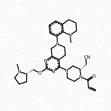 C=CC(=O)N1CCN(c2nc(OC[C@@H]3CCCN3C)nc3c2CCN(c2cccc4c2N(C)CCC4)C3)C[C@@H]1CC#N